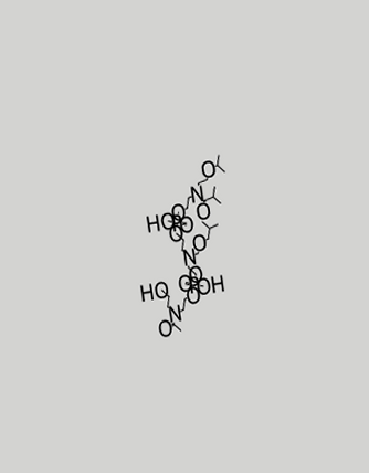 CC(=O)N(CCO)CCOP(=O)(O)OCN(CCOP(=O)(O)OCCN(CCOC(C)C)C(=O)C(C)C)COCC(C)C